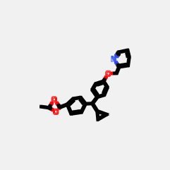 CC1OC(c2ccc(C(c3ccc(OCc4ccccn4)cc3)C3CC3)cc2)O1